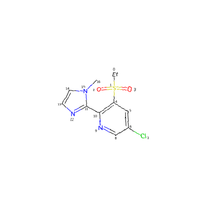 CCS(=O)(=O)c1cc(Cl)cnc1-c1nccn1C